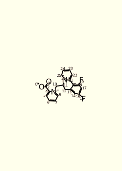 COC(=O)c1cccc[n+]1CC1Cc2cc(F)cc(F)c2-c2cccc[n+]21